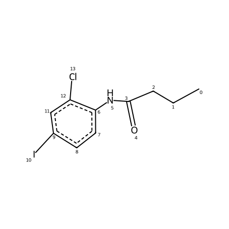 CCCC(=O)Nc1ccc(I)cc1Cl